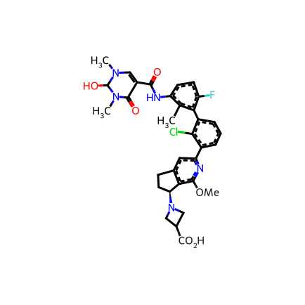 COc1nc(-c2cccc(-c3c(F)ccc(NC(=O)C4=CN(C)C(O)N(C)C4=O)c3C)c2Cl)cc2c1[C@@H](N1CC(C(=O)O)C1)CC2